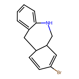 BrC1=CC2CNc3ccccc3CC2C=C1